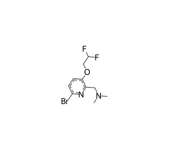 CN(C)Cc1nc(Br)ccc1OCC(F)F